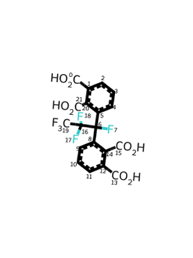 O=C(O)c1cccc(C(F)(c2cccc(C(=O)O)c2C(=O)O)C(F)(F)C(F)(F)F)c1C(=O)O